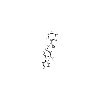 S=C(Cc1ccc(-n2cccn2)c(Cl)c1)N1CCOCC1